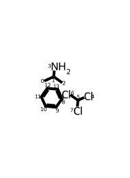 CC(C)N.ClC(Cl)Cl.c1ccccc1